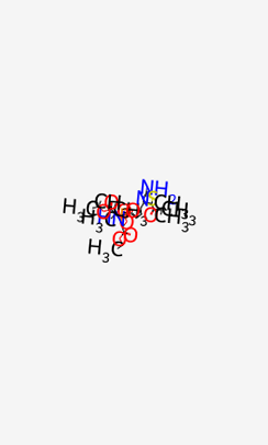 CCOC(=O)COP(=O)(NC(C)(C)C(=O)OC(C)C)c1ccc(-c2nc(N)sc2C(=O)C(C)(C)C)o1